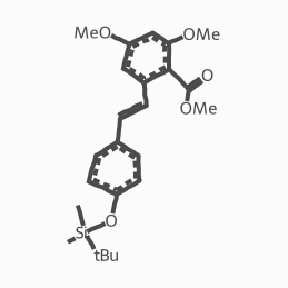 COC(=O)c1c(C=Cc2ccc(O[Si](C)(C)C(C)(C)C)cc2)cc(OC)cc1OC